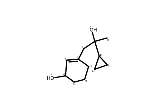 CC(O)(CC1=CC(O)CCC1)C1CC1